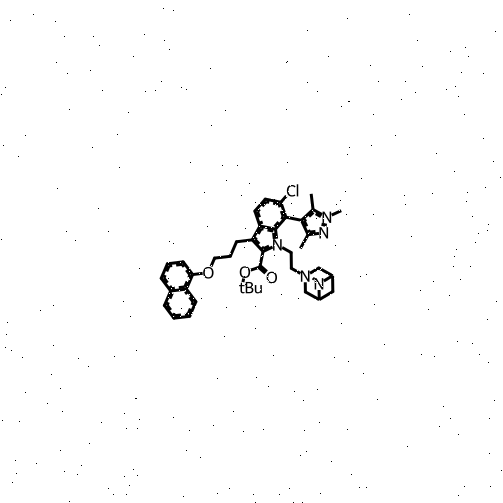 Cc1nn(C)c(C)c1-c1c(Cl)ccc2c(CCCOc3cccc4ccccc34)c(C(=O)OC(C)(C)C)n(CCN3CC4CC(C3)N4C)c12